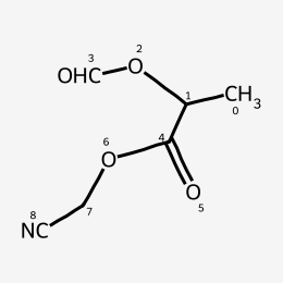 CC(OC=O)C(=O)OCC#N